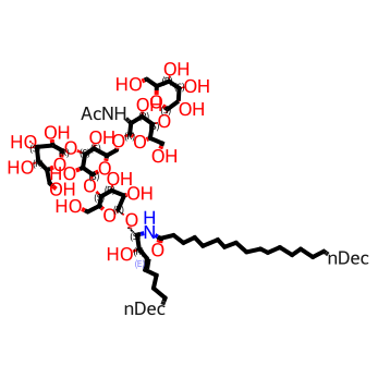 CCCCCCCCCCCCC/C=C/[C@@H](O)[C@H](CO[C@@H]1OC(CO)[C@@H](O[C@@H]2OC(CO[C@@H]3OC(CO)[C@@H](O[C@@H]4OC(CO)[C@H](O)[C@H](O)C4O)[C@H](O)C3NC(C)=O)[C@H](O)[C@H](O[C@H]3OC(CO)[C@H](O)[C@H](O)C3O)C2O)[C@H](O)C1O)NC(=O)CCCCCCCCCCCCCCCCCCCCCCCCC